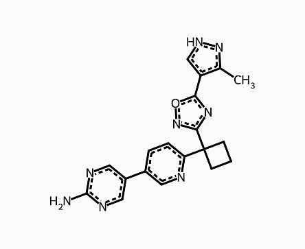 Cc1n[nH]cc1-c1nc(C2(c3ccc(-c4cnc(N)nc4)cn3)CCC2)no1